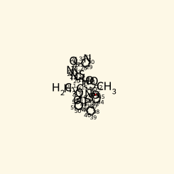 C=CCOC(=O)C(N1C(=O)C(C(C)O)C1C(C)C(=O)c1cn2cnc(C(=O)c3cccnc3)c2s1)=P(c1ccccc1)(c1ccccc1)c1ccccc1